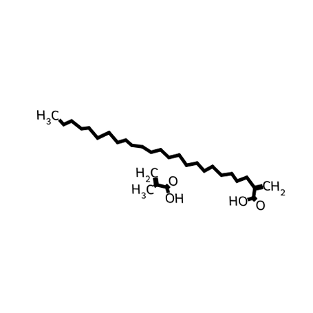 C=C(C)C(=O)O.C=C(CCCCCCCCCCCCCCCCCCCCCCC)C(=O)O